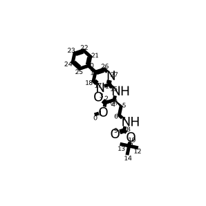 COC(=O)[C@H](CCNC(=O)OC(C)(C)C)Nc1ncc(-c2ccccc2)cn1